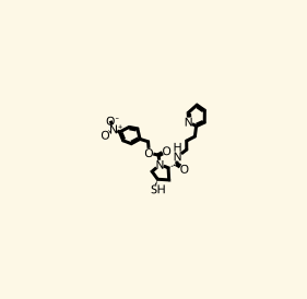 O=C(NCCCc1ccccn1)[C@@H]1C[C@H](S)CN1C(=O)OCc1ccc([N+](=O)[O-])cc1